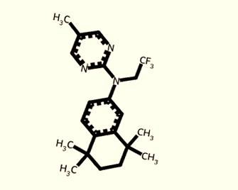 Cc1cnc(N(CC(F)(F)F)c2ccc3c(c2)C(C)(C)CCC3(C)C)nc1